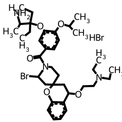 Br.CCN(CC)CCOC1CC2(CCN(C(=O)c3ccc(OC(C)C)c(OC(CC)(CC)C(C)N)c3)C(Br)C2)Oc2ccccc21